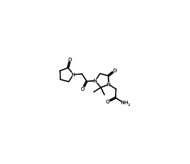 CC1(C)N(CC(N)=O)C(=O)CN1C(=O)CN1CCCC1=O